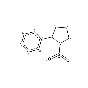 O=[SH](=O)N1CCCC1c1ccncc1